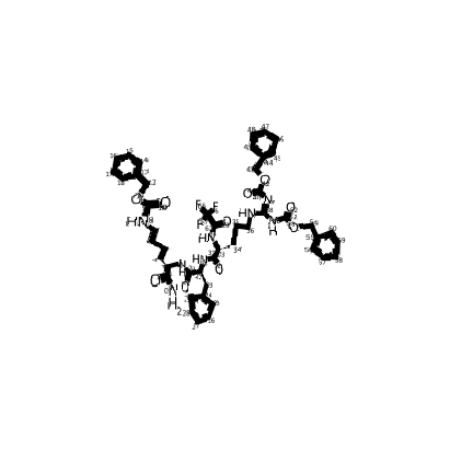 NC(=O)[C@H](CCCCNC(=O)OCc1ccccc1)NC(=O)[C@H](Cc1ccccc1)NC(=O)[C@@H](CCCN/C(=N\C(=O)OCc1ccccc1)NC(=O)OCc1ccccc1)NC(=O)C(F)(F)F